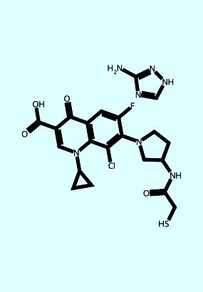 Nc1nc[nH]n1.O=C(CS)NC1CCN(c2c(F)cc3c(=O)c(C(=O)O)cn(C4CC4)c3c2Cl)C1